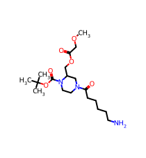 COCC(=O)OCC1CN(C(=O)CCCCCN)CCN1C(=O)OC(C)(C)C